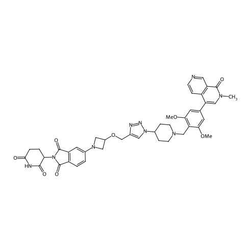 COc1cc(-c2cn(C)c(=O)c3cnccc23)cc(OC)c1CN1CCC(n2cc(COC3CN(c4ccc5c(c4)C(=O)N(C4CCC(=O)NC4=O)C5=O)C3)nn2)CC1